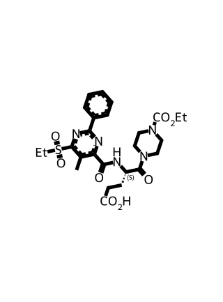 CCOC(=O)N1CCN(C(=O)[C@H](CCC(=O)O)NC(=O)c2nc(-c3ccccc3)nc(S(=O)(=O)CC)c2C)CC1